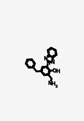 NCc1cc(Cc2ccccc2)cc(-n2nc3ccccc3n2)c1O